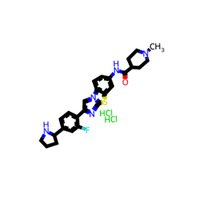 CN1CCC(C(=O)Nc2ccc3c(c2)sc2nc(-c4ccc(C5CCCN5)cc4F)cn23)CC1.Cl.Cl